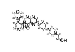 Nc1ncc(-c2ccc(N3CCN(CCO)CC3)cc2)nc1C(=O)Nc1cnccc1N1CCOCC1